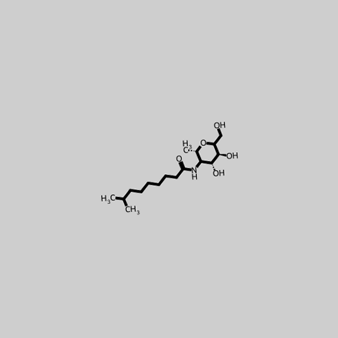 CC(C)CCCCCCC(=O)NC1[C@H](C)OC(CO)[C@@H](O)[C@@H]1O